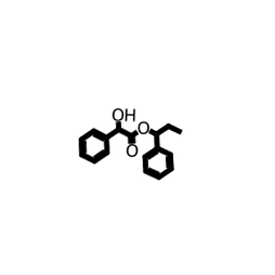 CCC(OC(=O)C(O)c1ccccc1)c1ccccc1